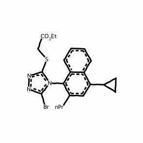 CCCc1cc(C2CC2)c2ccccc2c1-n1c(Br)nnc1SCC(=O)OCC